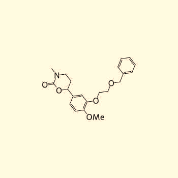 COc1ccc(C2CCN(C)C(=O)O2)cc1OCCOCc1ccccc1